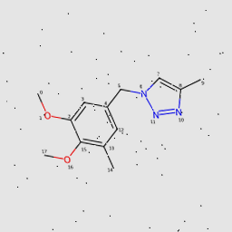 COc1cc(Cn2cc(C)nn2)cc(C)c1OC